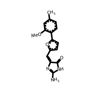 COc1cc(C)ccc1-c1ccc(/C=C2/N=C(N)NC2=O)o1